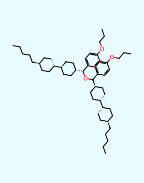 CCCCC[C@H]1CC[C@H]([C@H]2CC[C@H](C(OC(c3ccc(OCCC)cc3)[C@H]3CC[C@H]([C@H]4CC[C@H](CCCCC)CC4)CC3)c3ccc(OCCC)cc3)CC2)CC1